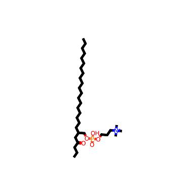 CCCCCCCCCCCCCCCCCCCC(COP(=O)(O)OCCC[N+](C)(C)C)CC(=O)CCC